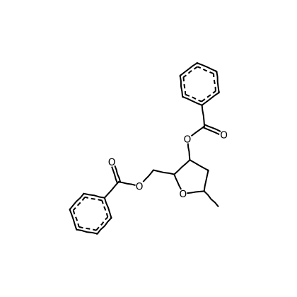 CC1CC(OC(=O)c2ccccc2)C(COC(=O)c2ccccc2)O1